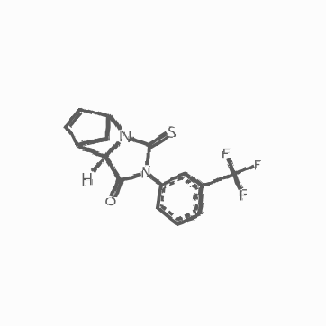 O=C1[C@@H]2C3C=CC(C3)N2C(=S)N1c1cccc(C(F)(F)F)c1